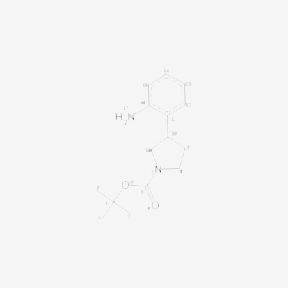 CC(C)(C)OC(=O)N1CCC(c2ccccc2N)C1